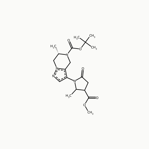 COC(=O)C1CC(=O)N(c2cnn3c2CN(C(=O)OC(C)(C)C)[C@@H](C)C3)C1C